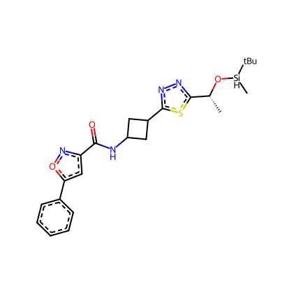 C[C@@H](O[SiH](C)C(C)(C)C)c1nnc(C2CC(NC(=O)c3cc(-c4ccccc4)on3)C2)s1